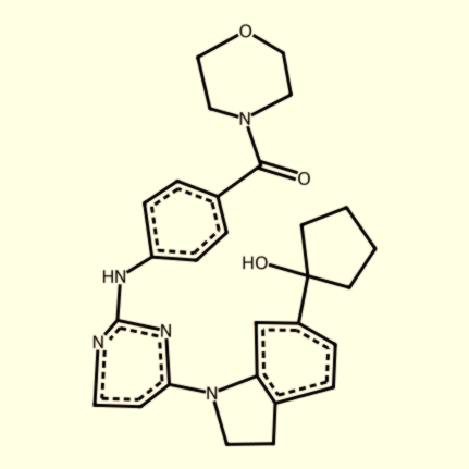 O=C(c1ccc(Nc2nccc(N3CCc4ccc(C5(O)CCCC5)cc43)n2)cc1)N1CCOCC1